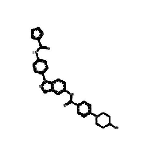 O=C(Nc1ccc2c(cnn2-c2ccc(NC(=O)c3cccs3)cc2)c1)c1ccc(N2CCC(O)CC2)cc1